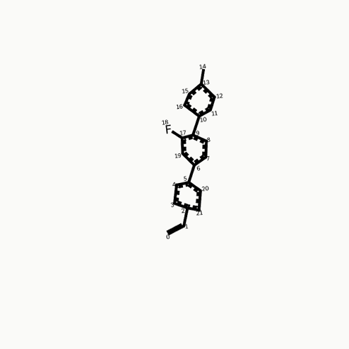 C=Cc1ccc(-c2ccc(-c3ccc(C)cc3)c(F)c2)cc1